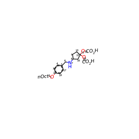 CCCCCCCCOc1ccc(CNC2CCC(OC(=O)O)(OC(=O)O)C2)cc1